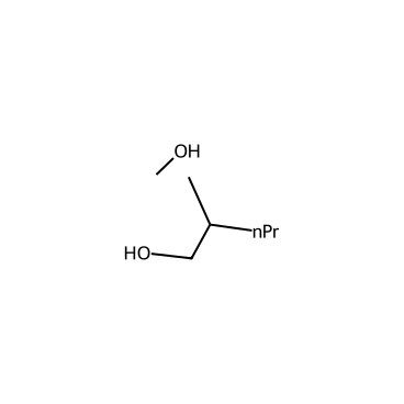 CCCC(C)CO.CO